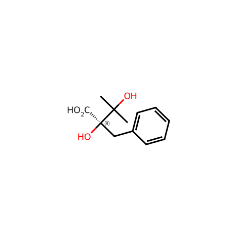 CC(C)(O)[C@](O)(Cc1ccccc1)C(=O)O